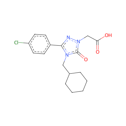 O=C(O)Cn1nc(-c2ccc(Cl)cc2)n(CC2CCCCC2)c1=O